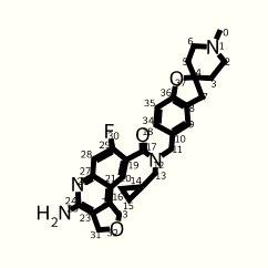 CN1CCC2(CC1)Cc1cc(CN(CC3CC3)C(=O)c3cc4c5c(c(N)nc4cc3F)COC5)ccc1O2